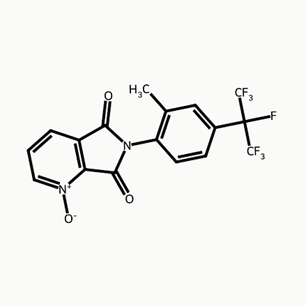 Cc1cc(C(F)(C(F)(F)F)C(F)(F)F)ccc1N1C(=O)c2ccc[n+]([O-])c2C1=O